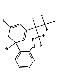 FC(F)(F)C(F)(C1=CC(Br)(c2cccnc2Cl)[CH]C(I)=C1)C(F)(F)F